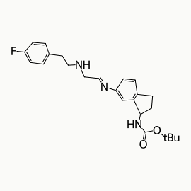 CC(C)(C)OC(=O)NC1CCc2ccc(N=CCNCCc3ccc(F)cc3)cc21